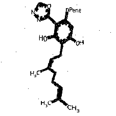 CCCCCc1cc(O)c(CC=C(C)CCC=C(C)C)c(O)c1-c1nnco1